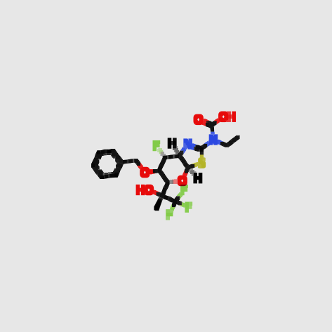 CCN(C(=O)O)C1=N[C@@H]2[C@@H](F)[C@H](OCc3ccccc3)[C@@H]([C@@](C)(O)C(F)(F)F)O[C@@H]2S1